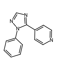 c1ccc(-n2ncnc2-c2ccncc2)cc1